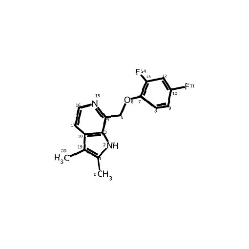 Cc1[nH]c2c(COc3ccc(F)cc3F)nccc2c1C